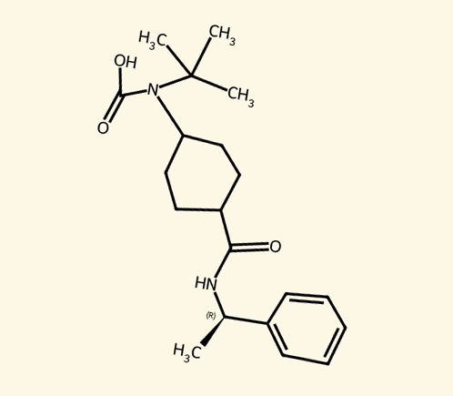 C[C@@H](NC(=O)C1CCC(N(C(=O)O)C(C)(C)C)CC1)c1ccccc1